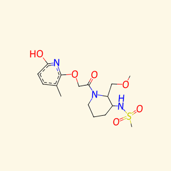 COCC1C(NS(C)(=O)=O)CCCN1C(=O)COc1nc(O)ccc1C